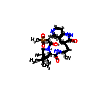 CC(C)(C)[C@@H](C(=O)N1C[C@H]2[C@@H]([C@H]1C(=O)N[C@@H](C#N)Cc1cc3cnccc3[nH]c1=O)C2(C)C)S(C)(=O)=O